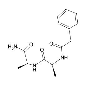 C[C@H](NC(=O)[C@H](C)NC(=O)Cc1ccccc1)C(N)=O